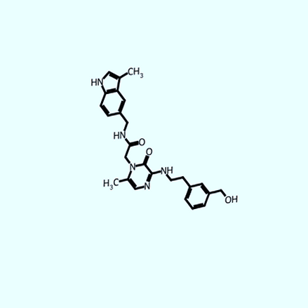 Cc1c[nH]c2ccc(CNC(=O)Cn3c(C)cnc(NCCc4cccc(CO)c4)c3=O)cc12